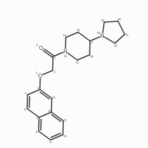 O=C(COc1ccc2ccccc2c1)N1CCC(N2CCCC2)CC1